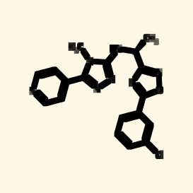 C[C@H](Nc1nnc(-c2ccncc2)n1C)c1noc(-c2cccc(Cl)c2)n1